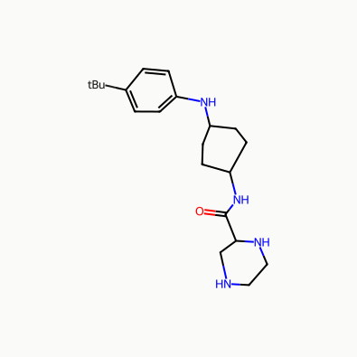 CC(C)(C)c1ccc(NC2CCC(NC(=O)C3CNCCN3)CC2)cc1